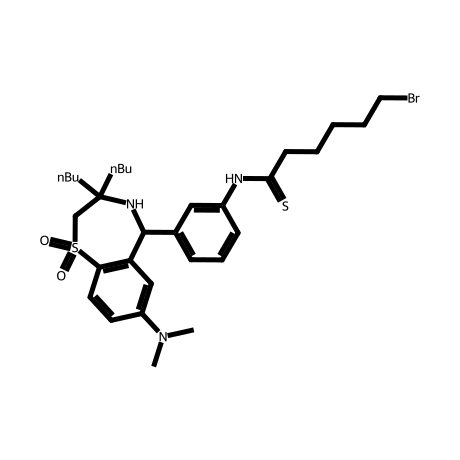 CCCCC1(CCCC)CS(=O)(=O)c2ccc(N(C)C)cc2C(c2cccc(NC(=S)CCCCCBr)c2)N1